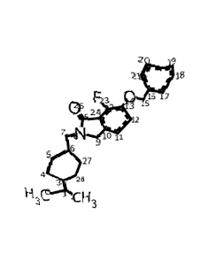 CC(C)C1CCC(CN2Cc3ccc(OCc4ccccc4)c(F)c3C2=O)CC1